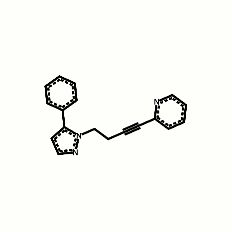 C(#Cc1ccccn1)CCn1nccc1-c1ccccc1